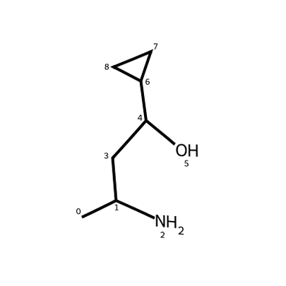 CC(N)CC(O)C1CC1